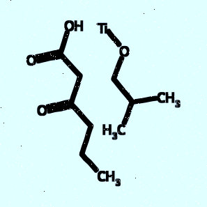 CC(C)C[O][Ti].CCCC(=O)CC(=O)O